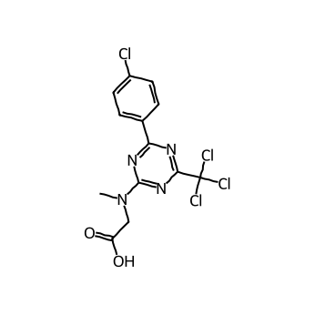 CN(CC(=O)O)c1nc(-c2ccc(Cl)cc2)nc(C(Cl)(Cl)Cl)n1